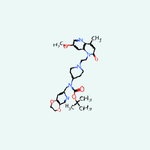 COc1cnc2c(C)cc(=O)n(CCN3CCC(N(Cc4cc5c(cn4)OCCO5)C(=O)OC(C)(C)C)CC3)c2c1